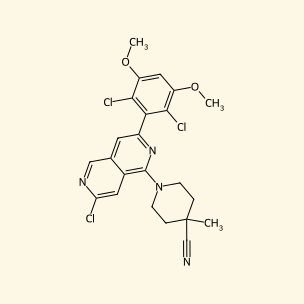 COc1cc(OC)c(Cl)c(-c2cc3cnc(Cl)cc3c(N3CCC(C)(C#N)CC3)n2)c1Cl